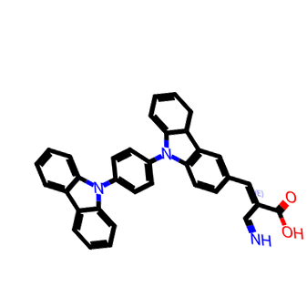 N=C/C(=C\c1ccc2c(c1)C1CC=CC=C1N2c1ccc(-n2c3ccccc3c3ccccc32)cc1)C(=O)O